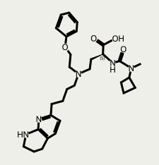 CN(C(=O)N[C@@H](CCN(CCCCc1ccc2c(n1)NCCC2)CCOc1ccccc1)C(=O)O)C1CCC1